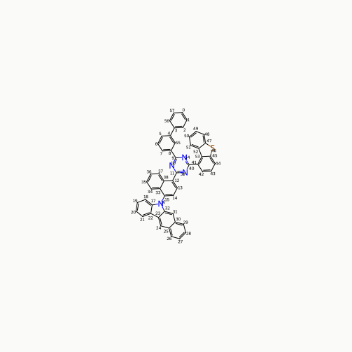 c1ccc(-c2cccc(-c3nc(-c4ccc(-n5c6ccccc6c6cc7ccccc7cc65)c5ccccc45)nc(-c4cccc5sc6ccccc6c45)n3)c2)cc1